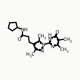 Cc1nn(-c2nc(C)c(C)c(=O)[nH]2)c(C)c1CCC(=O)NC1CCCC1